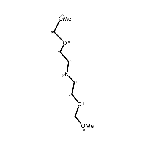 COCOCC[N]CCOCOC